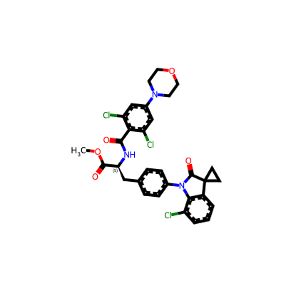 COC(=O)[C@H](Cc1ccc(N2C(=O)C3(CC3)c3cccc(Cl)c32)cc1)NC(=O)c1c(Cl)cc(N2CCOCC2)cc1Cl